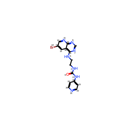 O=C(NCCNc1ncnc2ncc(Br)cc12)Nc1ccncc1